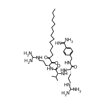 CCCCCCCCCCCCCC(=O)C(=O)[C@H](CCCNC(N)N)NC(=O)[C@@H](NN[C@@H](CCCNC(N)N)C(=O)NCc1ccc(C(=N)N)cc1)C(C)C